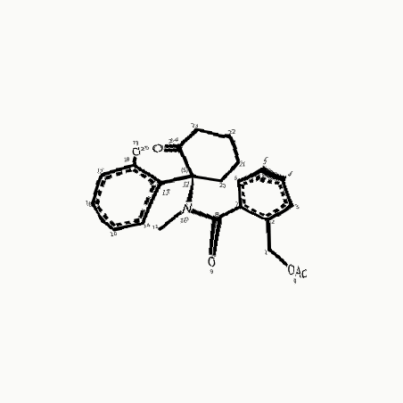 CC(=O)OCc1ccccc1C(=O)N(C)[C@]1(c2ccccc2Cl)CCCCC1=O